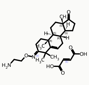 CC1(C)C2=CC[C@@H]3[C@H](CC[C@]4(C)C(=O)CC[C@@H]34)[C@@]2(C)CC/C1=N\OCCN.O=C(O)/C=C/C(=O)O